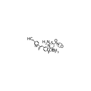 C#Cc1ccc(/C(F)=C/c2ccc(F)c([C@@]3(C)N=C(N)SC(C(=O)N4CCOCC4)CC3C)c2)nc1